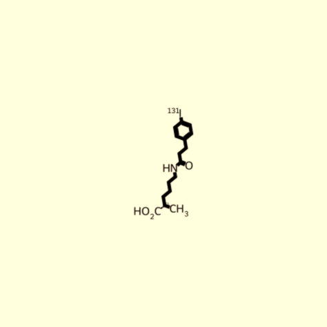 C[C@@H](CCCCNC(=O)CCc1ccc([131I])cc1)C(=O)O